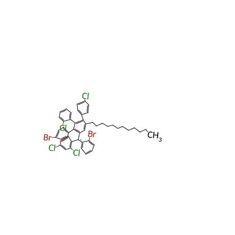 CCCCCCCCCCCCc1cc([C](c2ccc(Cl)cc2Cl)c2ccccc2Br)c(-c2ccc(Br)cc2)c(-c2ccccc2Cl)c1-c1ccc(Cl)cc1